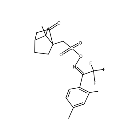 Cc1ccc(/C(=N/OS(=O)(=O)CC23CCC(CC2=O)C3(C)C)C(F)(F)F)c(C)c1